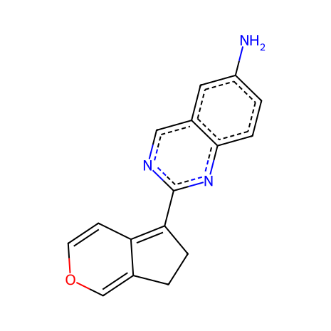 Nc1ccc2nc(C3=C4C=COC=C4CC3)ncc2c1